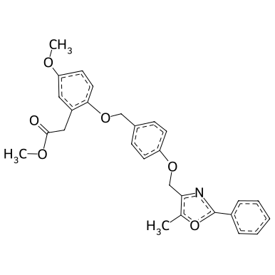 COC(=O)Cc1cc(OC)ccc1OCc1ccc(OCc2nc(-c3ccccc3)oc2C)cc1